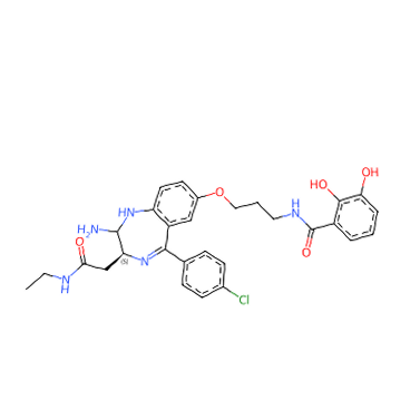 CCNC(=O)C[C@@H]1N=C(c2ccc(Cl)cc2)c2cc(OCCCNC(=O)c3cccc(O)c3O)ccc2NC1N